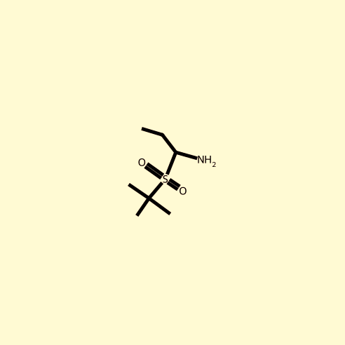 CCC(N)S(=O)(=O)C(C)(C)C